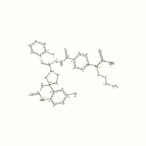 COCCN(C(=O)O)c1ccc(C(=O)N[C@@H](Cc2ccccc2)C(=O)N2CCC3(C2)OC(=O)Nc2ccc(Cl)cc23)cc1